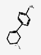 C[C@@H]1CCC=C(c2ccc(N)cc2)C1